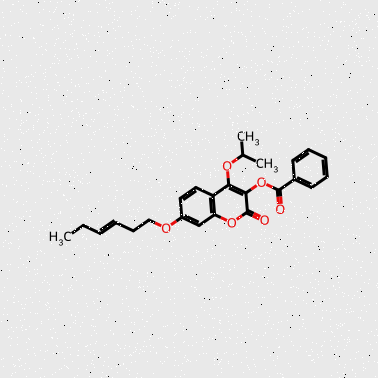 CC/C=C/CCOc1ccc2c(OC(C)C)c(OC(=O)c3ccccc3)c(=O)oc2c1